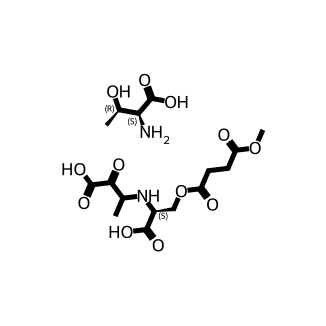 COC(=O)CCC(=O)OC[C@H](NC(C)C(=O)C(=O)O)C(=O)O.C[C@@H](O)[C@H](N)C(=O)O